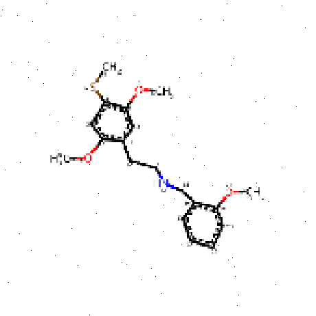 COc1cc(SC)c(OC)cc1CCNCc1ccccc1OC